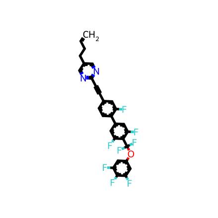 C=CCCc1cnc(C#Cc2ccc(-c3cc(F)c(C(F)(F)Oc4cc(F)c(F)c(F)c4)c(F)c3)c(F)c2)nc1